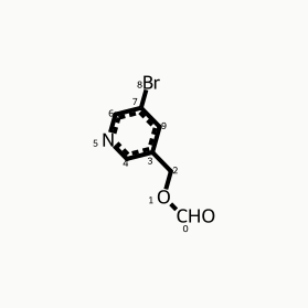 O=COCc1cncc(Br)c1